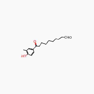 Cc1cc(C(=O)CCCCCCCCC=O)ccc1O